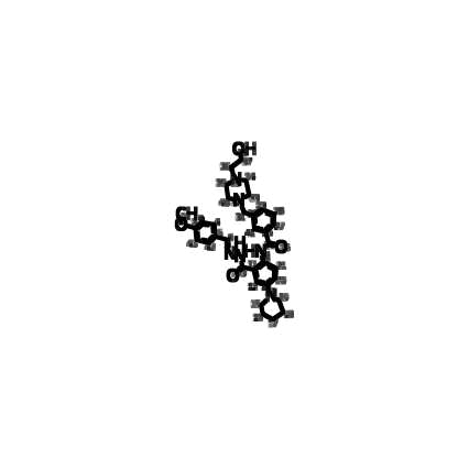 COc1ccc(/C=N/NC(=O)c2cc(N3CCCCC3)ccc2NC(=O)c2cccc(CN3CCN(CCO)CC3)c2)cc1